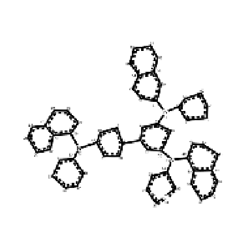 c1ccc(N(c2cc(-c3ccc(N(c4ccccc4)c4cccc5ccccc45)cc3)cc(N(c3ccccc3)c3cccc4ccccc34)c2)c2ccc3ccccc3c2)cc1